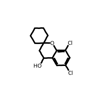 OC1CC2(CCCCC2)Oc2c(Cl)cc(Cl)cc21